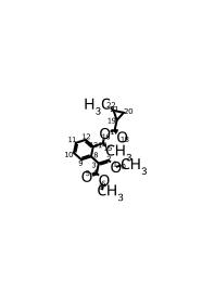 COC=C(C(=O)OC)c1ccccc1C(C)OC(=O)C1CC1C